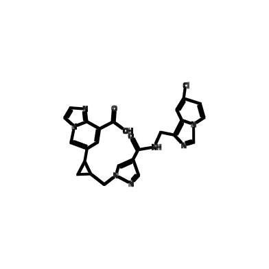 O=C(NCc1ncn2ccc(Cl)cc12)c1cnn(CC2CC2c2cc(C(=O)O)c3nccn3c2)c1